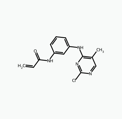 C=CC(=O)Nc1cccc(Nc2nc(Cl)ncc2C)c1